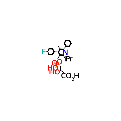 Cc1c(-c2ccccc2)nc(C(C)C)c(COP(=O)(O)C[C@@H](O)CC(=O)O)c1-c1ccc(F)cc1